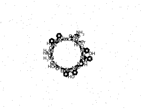 CCCC[C@H]1C(=O)N(C)CC(=O)N[C@@H](CO)C(=O)N[C@@H](CC)C(=O)N(C)[C@@H](Cc2ccccc2)C(=O)N[C@@H](Cc2ccc(O)cc2)C(=O)N2CCCC[C@@H]2C(=O)N[C@@H](Cc2c[nH]c3ccccc23)C(=O)N[C@@H](Cc2ccc(O)cc2)C(=O)N[C@@H](CC(C)C)C(=O)N[C@H](C(=O)NCC(N)=O)CSCC(=O)N[C@@H](Cc2ccccc2)C(=O)N(C)[C@@H](Cc2ccccc2)C(=O)N1C